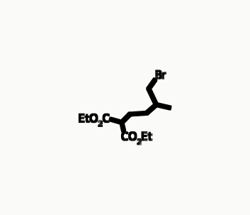 CCOC(=O)C(CCC(C)CBr)C(=O)OCC